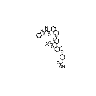 Cc1c(O[C@H]2CC[C@@H](CC(=O)O)CC2)cccc1-c1ccc(N2CCc3cccc(C(=O)Nc4nc5ccccc5s4)c3C2)nc1C(=O)OC(C)(C)C